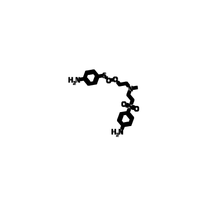 CN(CCOOSc1ccc(N)cc1)CCS(=O)(=O)c1ccc(N)cc1